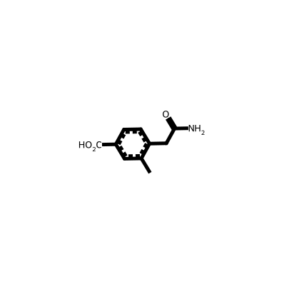 Cc1cc(C(=O)O)ccc1CC(N)=O